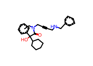 CCN(CC#CCNCc1ccccc1)C(=O)C(O)(c1ccccc1)C1CCCCC1